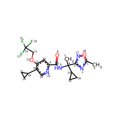 Cc1nc(C(C)(NC(=O)c2cc(OCC(F)(F)F)c(C3CC3)cn2)C2CC2)no1